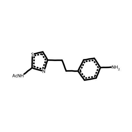 CC(=O)Nc1nc(CCc2ccc(N)cc2)cs1